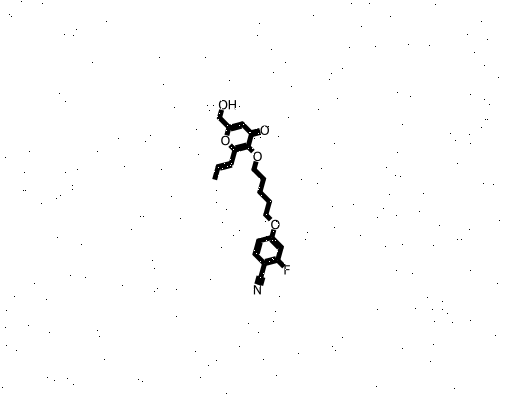 C/C=C/c1oc(CO)cc(=O)c1OCCCCCOc1ccc(C#N)c(F)c1